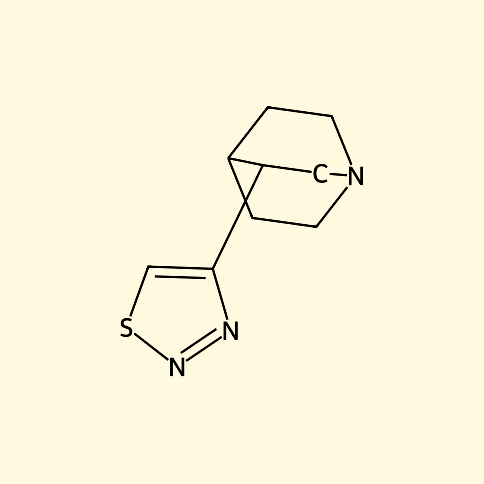 c1snnc1C1CN2CCC1CC2